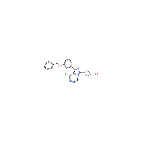 OC1CC(c2nc(-c3cccc(OCc4ccccc4)c3)c3c(Cl)nccn23)C1